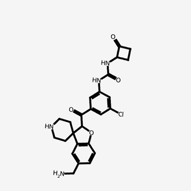 NCc1ccc2c(c1)C1(CCNCC1)C(C(=O)c1cc(Cl)cc(NC(=O)NC3CCC3=O)c1)O2